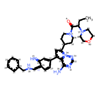 CCC(C(=O)N1CCC(c2cc(C3=CC(=N)/C(=C\NCc4ccccc4)C=C3)c3c(N)ncnn23)CC1)N1CCOCC1